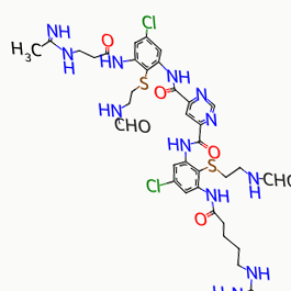 CC(=N)NCCC(=O)Nc1cc(Cl)cc(NC(=O)c2cc(C(=O)Nc3cc(Cl)cc(NC(=O)CCCCNC(=N)N)c3SCCNC=O)ncn2)c1SCCNC=O